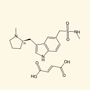 CNS(=O)(=O)Cc1ccc2[nH]cc(C[C@H]3CCCN3C)c2c1.O=C(O)C=CC(=O)O